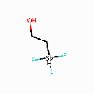 OC[CH2][SbH]([F])([F])[F]